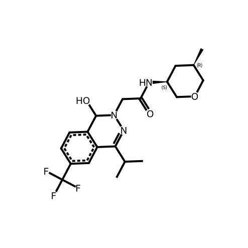 CC(C)C1=NN(CC(=O)N[C@@H]2COC[C@H](C)C2)C(O)c2ccc(C(F)(F)F)cc21